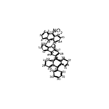 O=[N+]([O-])c1c2ccccc2c(-c2cccc3c2oc2ccc(-c4c5ccccc5c(-c5ccccc5)c5ccccc45)cc23)c2ccccc12